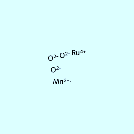 [Mn+2].[O-2].[O-2].[O-2].[Ru+4]